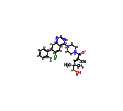 CC(C)(C=C(C#N)C(=O)N1CCN(c2ncnc3cc(-c4ccccc4F)c(Cl)cc23)CC1)CO